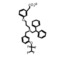 O=C(O)Cc1cccc(OCCCN(Cc2cccc(OC(F)(F)C(F)F)c2)CC(C2=CCCC=C2)c2ccccc2)c1